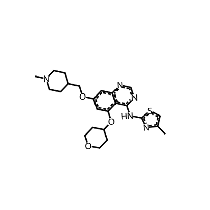 Cc1csc(Nc2ncnc3cc(OCC4CCN(C)CC4)cc(OC4CCOCC4)c23)n1